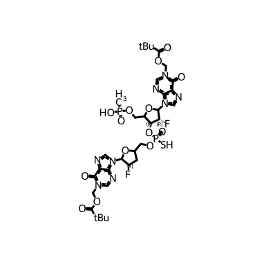 CC(C)(C)C(=O)OCn1cnc2c(ncn2C2OC(COP(=O)(S)O[C@@H]3C(COP(C)(=O)O)OC(n4cnc5c(=O)n(COC(=O)C(C)(C)C)cnc54)[C@@H]3F)C[C@H]2F)c1=O